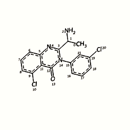 CC(N)c1nc2cccc(Cl)c2c(=O)n1-c1cccc(Cl)c1